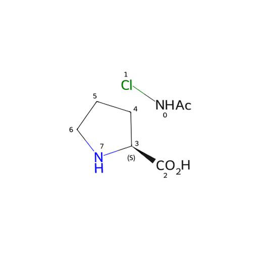 CC(=O)NCl.O=C(O)[C@@H]1CCCN1